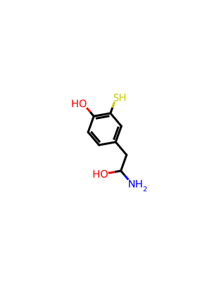 NC(O)Cc1ccc(O)c(S)c1